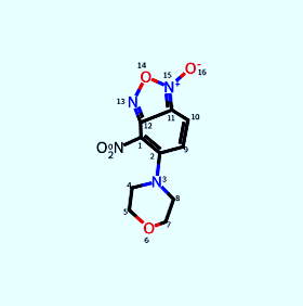 O=[N+]([O-])c1c(N2CCOCC2)ccc2c1no[n+]2[O-]